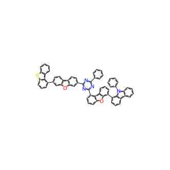 c1ccc(-c2nc(-c3ccc4c(c3)oc3cc(-c5cccc6sc7ccccc7c56)ccc34)nc(-c3cccc4oc5c(-c6cccc7c8ccccc8n(-c8ccccc8)c67)cccc5c34)n2)cc1